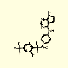 Cl.Fc1cc(C(F)(F)F)cnc1C(F)(F)CN1CCC(Nc2ncnc3[nH]ccc23)CC1